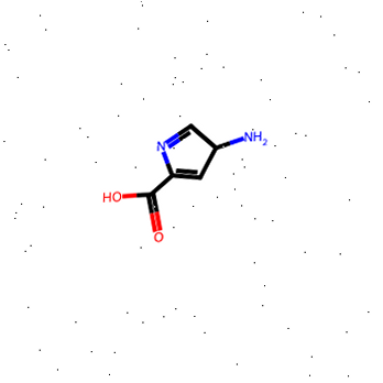 NC1C=NC(C(=O)O)=C1